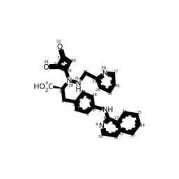 O=C(O)[C@H](Cc1ccc(Nc2nccc3ccccc23)cc1)N(NCc1ccccn1)c1cc(=O)c1=O